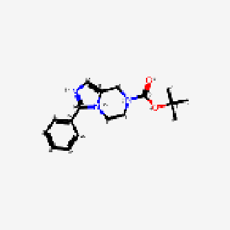 CC(C)(C)OC(=O)N1CCn2c(cnc2-c2ccccc2)C1